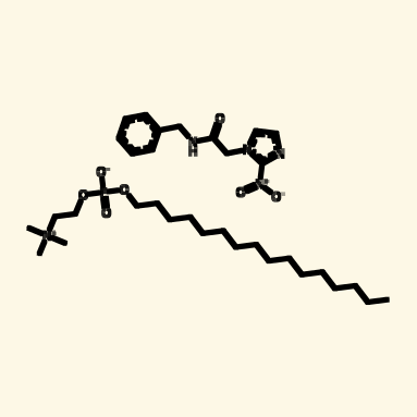 CCCCCCCCCCCCCCCCOP(=O)([O-])OCC[N+](C)(C)C.O=C(Cn1ccnc1[N+](=O)[O-])NCc1ccccc1